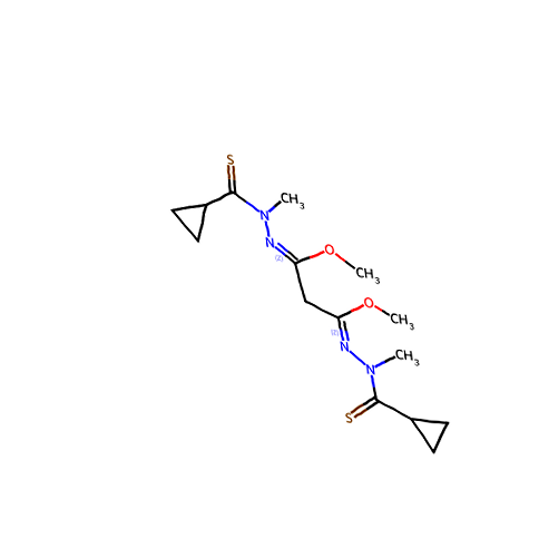 CO/C(C/C(=N/N(C)C(=S)C1CC1)OC)=N\N(C)C(=S)C1CC1